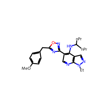 CCCC(CCC)Nc1c(-c2noc(Cc3ccc(OC)cc3)n2)cnc2c1cnn2CC